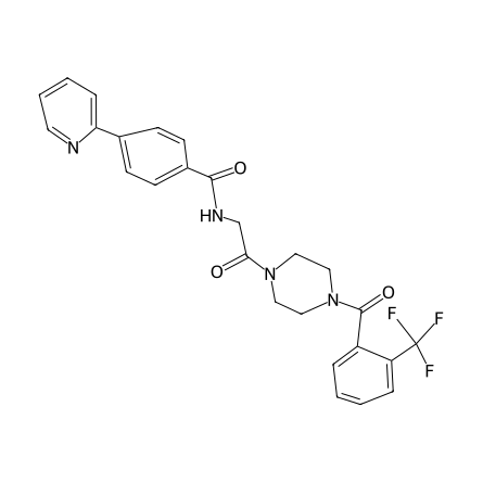 O=C(NCC(=O)N1CCN(C(=O)c2ccccc2C(F)(F)F)CC1)c1ccc(-c2ccccn2)cc1